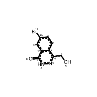 O=c1[nH]nc(CO)c2ccc(Br)cc12